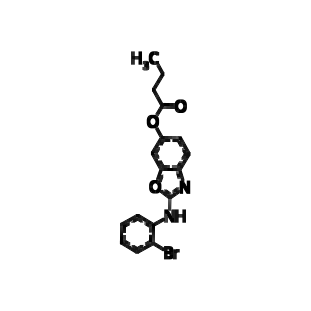 CCCC(=O)Oc1ccc2nc(Nc3ccccc3Br)oc2c1